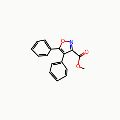 COC(=O)c1noc(-c2ccccc2)c1-c1ccccc1